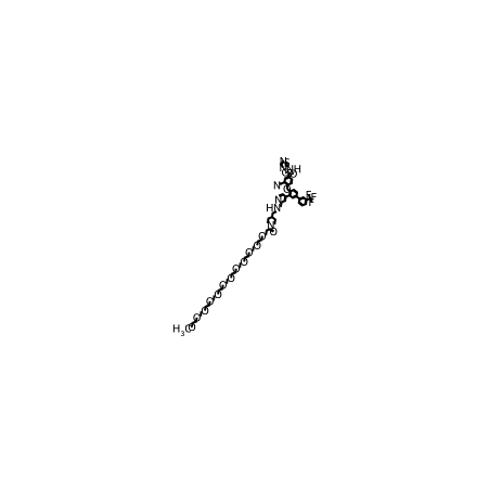 COCCOCCOCCOCCOCCOCCOCCOCCOCCOCCOCCOCCC(=O)N1CCC(CCNCc2cc(-c3cc(-c4cccc(C(F)(F)F)c4)ccc3Oc3ccc(S(=O)(=O)Nc4ncns4)cc3C#N)ccn2)CC1